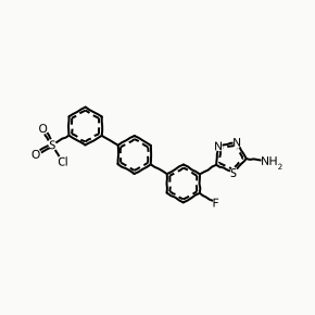 Nc1nnc(-c2cc(-c3ccc(-c4cccc(S(=O)(=O)Cl)c4)cc3)ccc2F)s1